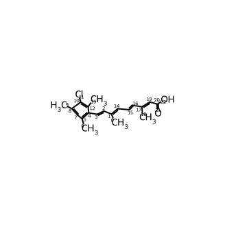 CC(/C=C/c1c(C)cc(C)c(Cl)c1C)=C\C=C\C(C)=C\C(=O)O